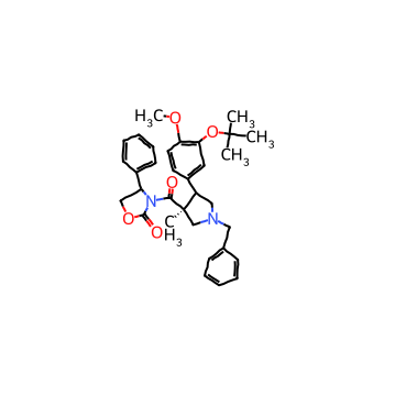 COc1ccc(C2CN(Cc3ccccc3)C[C@@]2(C)C(=O)N2C(=O)OCC2c2ccccc2)cc1OC(C)(C)C